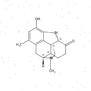 Cc1cc(O)c2c3c1C[C@@H]1[C@@H]4CCC(=O)[C@H](O2)[C@]34CCN1C